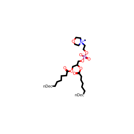 CCCCCCCCCCCCCCCC(=O)OCC(COP(=O)([O-])OCC[N+]1(C)CCOCC1)OC(=O)CCCCCCCCCCCCCCC